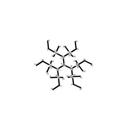 CC[Si](C)(C)[N]([Bi]([N]([Si](C)(C)CC)[Si](C)(C)CC)[N]([Si](C)(C)CC)[Si](C)(C)CC)[Si](C)(C)CC